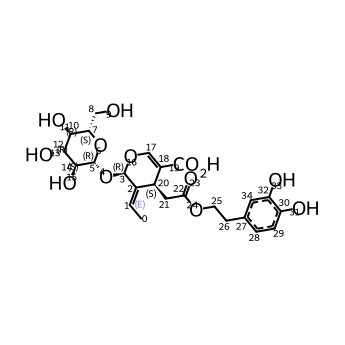 C/C=C1/[C@@H](O[C@H]2O[C@@H](CO)[C@H](O)[C@@H](O)[C@@H]2O)OC=C(C(=O)O)[C@H]1CC(=O)OCCc1ccc(O)c(O)c1